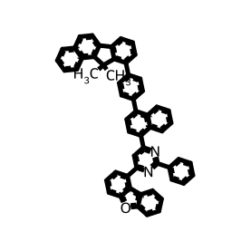 CC1(C)c2c(-c3ccc(-c4ccc(-c5cc(-c6cccc7oc8ccccc8c67)nc(-c6ccccc6)n5)c5ccccc45)cc3)cccc2-c2ccc3ccccc3c21